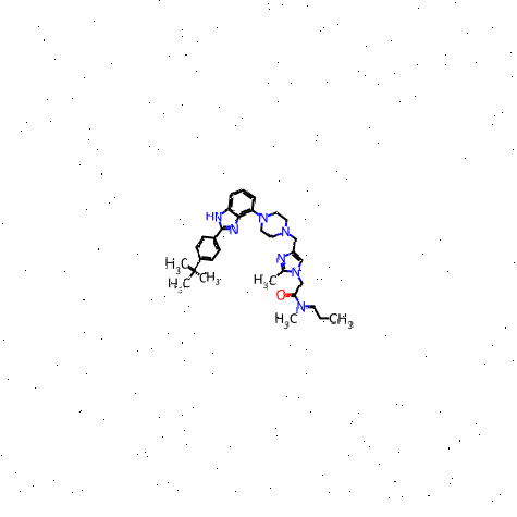 CCCN(C)C(=O)Cn1cc(CN2CCN(c3cccc4[nH]c(-c5ccc(C(C)(C)C)cc5)nc34)CC2)nc1C